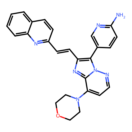 Nc1ccc(-c2c(/C=C/c3ccc4ccccc4n3)nc3c(N4CCOCC4)ccnn23)cn1